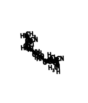 C[C@@H]1CN([C@H]2Cc3c(C#N)cc(Cl)cc3[C@@H]2Oc2ccc(S(=O)(=O)N[C@H]3CCN(C(=O)CCCNC(=O)NCCCCNC(=O)NCCCC(=O)N4CC[C@H](NS(=O)(=O)c5ccc(O[C@H]6c7cc(Cl)cc(C#N)c7C[C@@H]6N6CCN[C@H](C)C6)cc5)C4)C3)cc2)CCN1